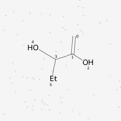 C=C(O)C(O)CC